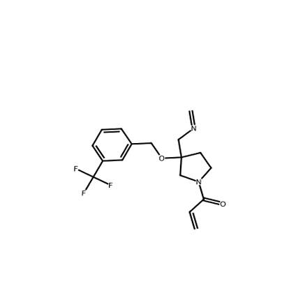 C=CC(=O)N1CCC(CN=C)(OCc2cccc(C(F)(F)F)c2)C1